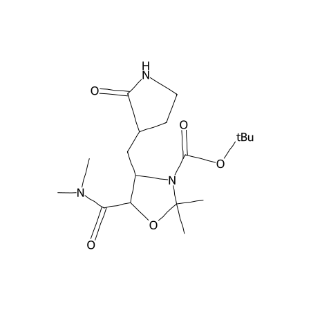 CN(C)C(=O)C1OC(C)(C)N(C(=O)OC(C)(C)C)C1CC1CCNC1=O